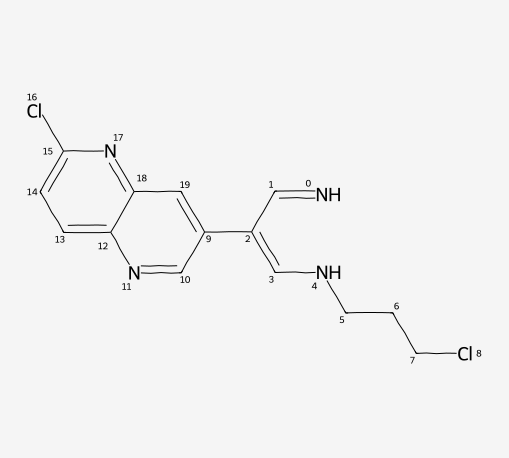 N=C/C(=C\NCCCCl)c1cnc2ccc(Cl)nc2c1